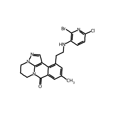 Cc1cc(CCNc2ccc(Cl)nc2Br)c2c(c1)c(=O)n1c3c2cnn3CCC1